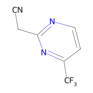 N#CCc1nccc(C(F)(F)F)n1